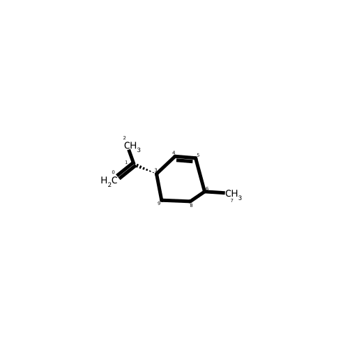 C=C(C)[C@@H]1C=CC(C)CC1